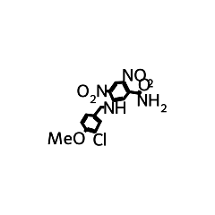 COc1ccc(CNc2cc(C(N)=O)c([N+](=O)[O-])cc2[N+](=O)[O-])cc1Cl